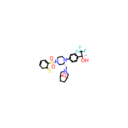 C[C@](O)(c1ccc(N2CCN(S(=O)(=O)C3=CC=CCC3=S)C[C@H]2CN2CC3CCC(C2)O3)cc1)C(F)(F)F